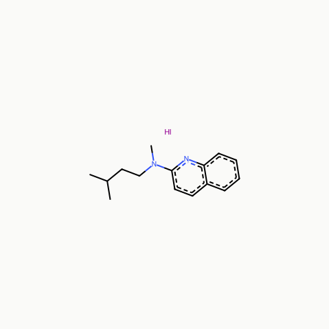 CC(C)CCN(C)c1ccc2ccccc2n1.I